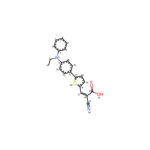 CCN(c1ccccc1)c1ccc(-c2ccc(/C=C(/C#N)C(=O)O)s2)cc1